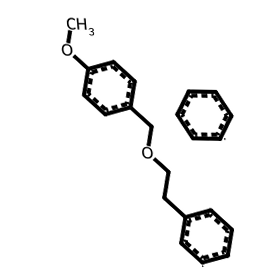 COc1ccc(COCCc2c[c]ccc2)cc1.[c]1ccccc1